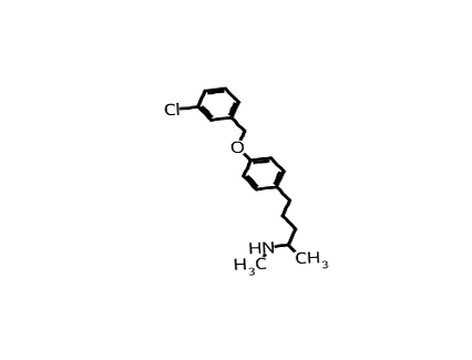 CNC(C)CCCc1ccc(OCc2cccc(Cl)c2)cc1